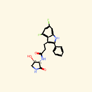 O=C(CCc1c(-c2ccccc2)[nH]c2cc(F)cc(F)c12)N[C@@H]1C(=O)NC[C@H]1O